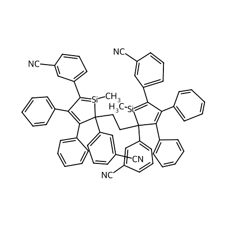 C[Si]1=C(c2cccc(C#N)c2)C(c2ccccc2)=C(c2ccccc2)C1(CCC1(c2cccc(C#N)c2)C(c2ccccc2)=C(c2ccccc2)C(c2cccc(C#N)c2)=[Si]1C)c1cccc(C#N)c1